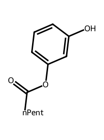 CCCCCC(=O)Oc1cccc(O)c1